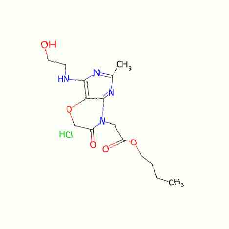 CCCCOC(=O)CN1C(=O)COc2c(NCCO)nc(C)nc21.Cl